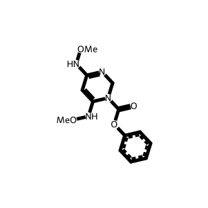 CONC1=CC(NOC)=NCN1C(=O)Oc1ccccc1